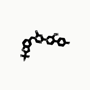 O=c1nc(N2CC=C(c3ccc(F)cc3)C(O)C2)ncn1Cc1ccc2c(c1)CC(C(F)(F)F)O2